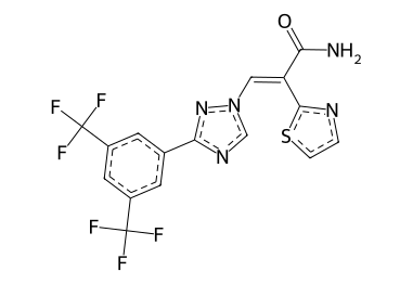 NC(=O)C(=Cn1cnc(-c2cc(C(F)(F)F)cc(C(F)(F)F)c2)n1)c1nccs1